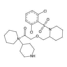 O=C(COCC1CCCCN1S(=O)(=O)c1c(Cl)cccc1Cl)[N+]1(C2CCNCC2)CCCCC1